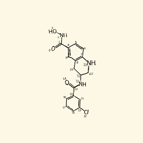 O=C(NO)c1ccc2c(c1)CC(NC(=O)c1cccc(Cl)c1)CN2